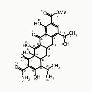 COC(=O)c1cc(N(C)C)c2c(c1O)C(=O)C1=C(O)C3(O)C(=O)C(C(N)=O)=C(O)C(N(C)C)C3CC1C2